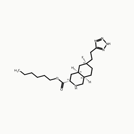 CCCCCCOC(=O)[C@@H]1C[C@H]2C[C@@](F)(CCc3nn[nH]n3)CC[C@H]2CN1